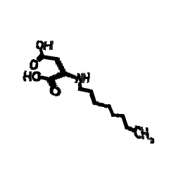 CCCCCCCCNC(CC(=O)O)C(=O)O